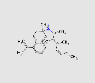 C=C(NC1(C)C=c2cccc(C(=C)C)c2=CC1)/C(C)=C(C)/C=C\CC